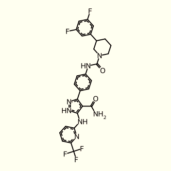 NC(=O)c1c(-c2ccc(NC(=O)N3CCCC(c4cc(F)cc(F)c4)C3)cc2)n[nH]c1Nc1cccc(C(F)(F)F)n1